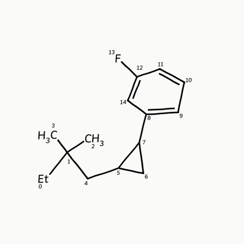 CCC(C)(C)CC1CC1c1cccc(F)c1